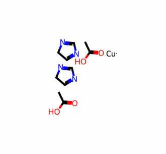 C1=NC=NC1.C1=NC=NC1.CC(=O)O.CC(=O)O.[Cu]